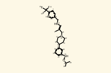 C/C(=C\NCc1ccc(C(F)(F)F)nc1)CN1CCC(c2cccc(NOC(C)C)c2)CC1